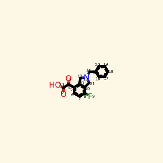 O=C(O)C(=O)c1ccc(F)c2c1CN(Cc1ccccc1)C2